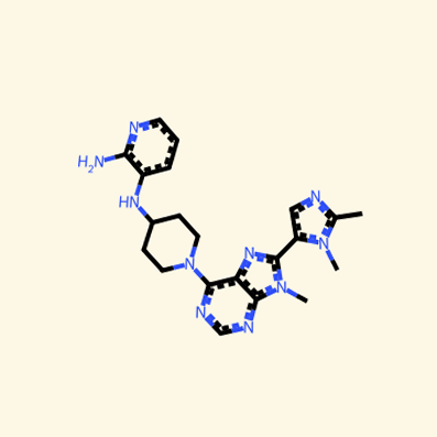 Cc1ncc(-c2nc3c(N4CCC(Nc5cccnc5N)CC4)ncnc3n2C)n1C